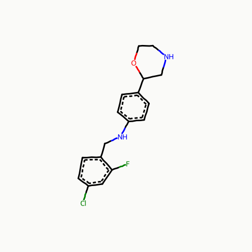 Fc1cc(Cl)ccc1CNc1ccc(C2CNCCO2)cc1